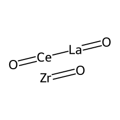 [O]=[La][Ce]=[O].[O]=[Zr]